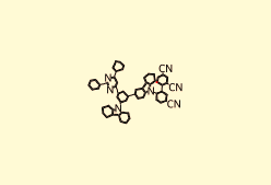 N#Cc1ccc(-c2cc(C#N)ccc2-n2c3ccccc3c3cc(-c4cc(-c5cc(-c6ccccc6)nc(-c6ccccc6)n5)cc(-n5c6ccccc6c6ccccc65)c4)ccc32)c(C#N)c1